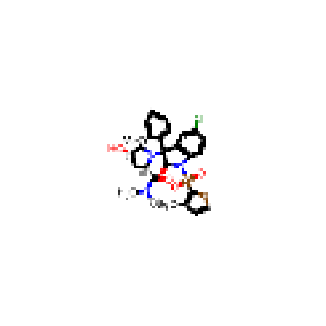 COc1ccccc1C1(N2C[C@H](O)C[C@H]2C(=O)N(C)C)C(=O)N(S(=O)(=O)c2sccc2OC)c2ccc(Cl)cc21